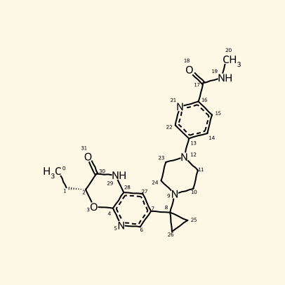 CC[C@H]1Oc2ncc(C3(N4CCN(c5ccc(C(=O)NC)nc5)CC4)CC3)cc2NC1=O